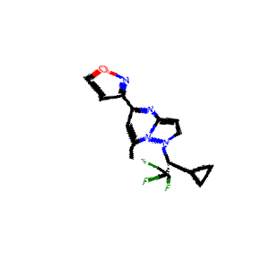 CC1=CC(c2ccon2)=NC2=CCN([C@H](C3CC3)C(F)(F)F)N12